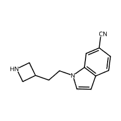 N#Cc1ccc2ccn(CCC3CNC3)c2c1